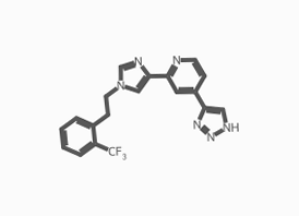 FC(F)(F)c1ccccc1CCn1cnc(-c2cc(-c3c[nH]nn3)ccn2)c1